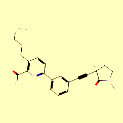 COCCCc1ccc(-c2cccc(C#C[C@]3(O)CCN(C)C3=O)c2)nc1C(N)=O